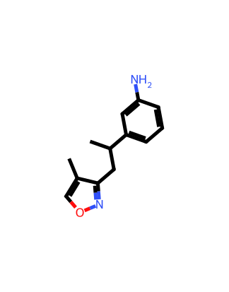 Cc1conc1CC(C)c1cccc(N)c1